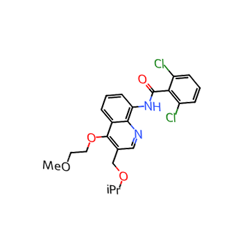 COCCOc1c(COC(C)C)cnc2c(NC(=O)c3c(Cl)cccc3Cl)cccc12